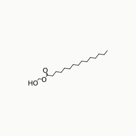 CCCCCCCCCCCCCCC(=O)OCO